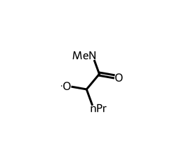 CCCC([O])C(=O)NC